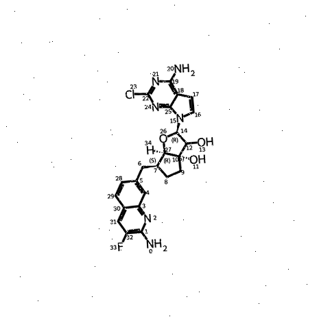 Nc1nc2cc(C[C@@H]3CC[C@]4(O)C(O)[C@H](n5ccc6c(N)nc(Cl)nc65)O[C@H]34)ccc2cc1F